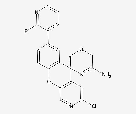 NC1=N[C@@]2(COC1)c1cc(-c3cccnc3F)ccc1Oc1cnc(Cl)cc12